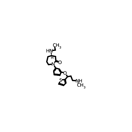 CCN[C@@H]1CCCN(c2cccc(OC(CCNC)c3cccs3)c2)C(=O)C1